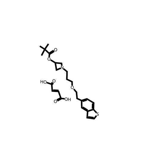 CC(C)(C)C(=O)OC1CN(CCCOCCc2ccc3sccc3c2)C1.O=C(O)C=CC(=O)O